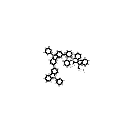 C=Cc1c(C(=C)S(c2ccccc2)(c2ccccc2)c2cccc(-c3ccc4c(c3)c3cc(-c5ccc6c(c5)c5ccccc5n6-c5ccccc5)ccc3n4-c3ccccc3)c2)oc2ccccc12